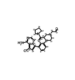 Nc1ncnn2c(-c3cccc(N4CCN(CC=O)CC4C(=O)N4CCCC4)c3)cc(Cl)c12